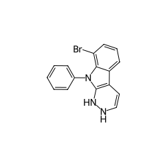 Brc1cccc2c3c(n(-c4ccccc4)c12)NNC=C3